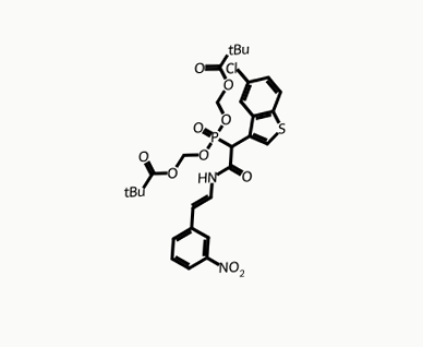 CC(C)(C)C(=O)OCOP(=O)(OCOC(=O)C(C)(C)C)C(C(=O)N/C=C/c1cccc([N+](=O)[O-])c1)c1csc2ccc(Cl)cc12